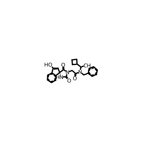 CC(C1CCC1)N(Cc1ccccc1)C(=O)CN1C(=O)N[C@]2(C=C(O)c3ccccc32)C1=O